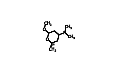 COC1CC(N(C)C)C[C@@H](C)O1